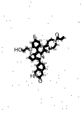 C=CC(=O)N1CCc2cc(-c3nc(-c4ccc5c(c4)CNC(=O)C5)c4ccsc4c3-c3c(F)cc(F)cc3OCCO)nn2CC1